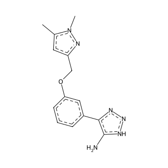 Cc1cc(COc2cccc(-c3nn[nH]c3N)c2)nn1C